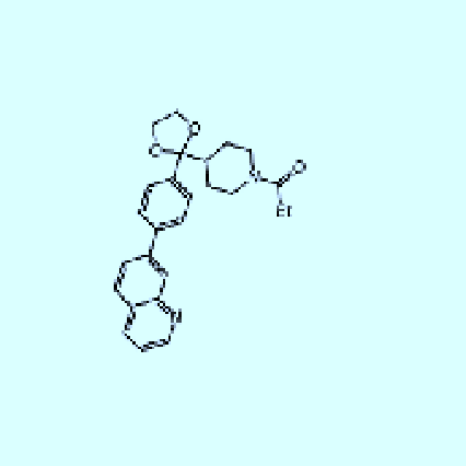 CCC(=O)N1CCC(C2(c3ccc(-c4ccc5cccnc5c4)cc3)OCCO2)CC1